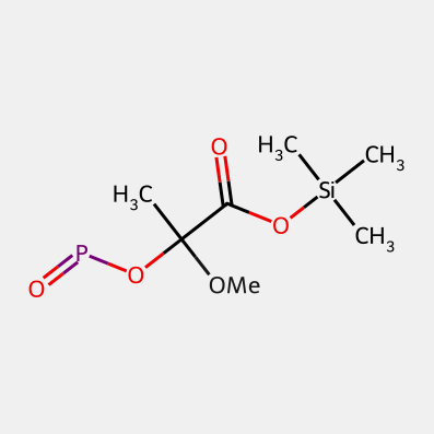 COC(C)(OP=O)C(=O)O[Si](C)(C)C